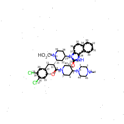 CN1CCN(C2CCN(C(=O)C(Cc3ccc(Cl)c(Cl)c3)[C@H]3CC(n4c(=O)[nH]c5c6ccccc6ccc54)CCN3C(=O)O)CC2)CC1